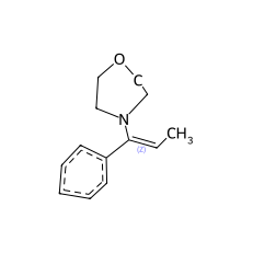 C/C=C(/c1ccccc1)N1CCOCC1